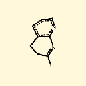 FC1=Nc2ncccc2CC1